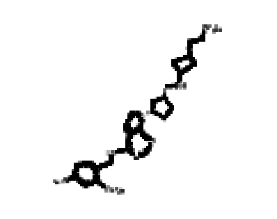 CCOC(=O)CCC1CC(NC[C@@H]2CC[C@H](n3ccc4c(NCc5ccc(OC)cc5OC)ncnc43)C2)C1